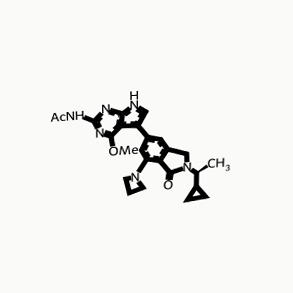 COc1nc(NC(C)=O)nc2[nH]cc(-c3cc4c(c(N5CCC5)c3)C(=O)N([C@@H](C)C3CC3)C4)c12